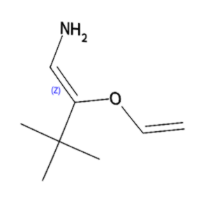 C=CO/C(=C\N)C(C)(C)C